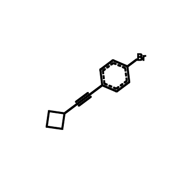 Brc1ccc(C#CC2CCC2)cc1